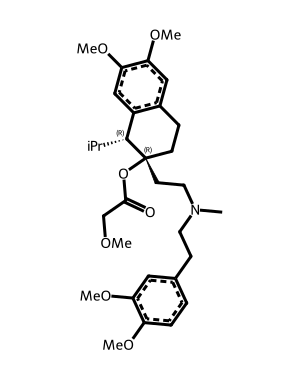 COCC(=O)O[C@@]1(CCN(C)CCc2ccc(OC)c(OC)c2)CCc2cc(OC)c(OC)cc2[C@H]1C(C)C